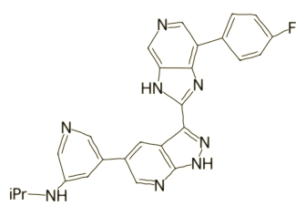 CC(C)Nc1cncc(-c2cnc3[nH]nc(-c4nc5c(-c6ccc(F)cc6)cncc5[nH]4)c3c2)c1